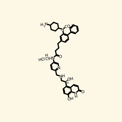 Cl.Cl.NC1CCC(N(C(=O)O)c2cc(CCCC(=O)Nc3ccc(CNC[C@@H](O)c4ccc(O)c5[nH]c(=O)ccc45)nc3)ccc2-c2ccccc2)CC1